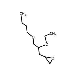 CCCCOCC(CC1CO1)OCC